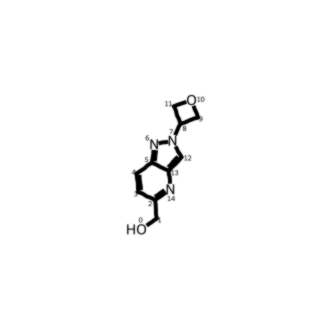 OCc1ccc2nn(C3COC3)cc2n1